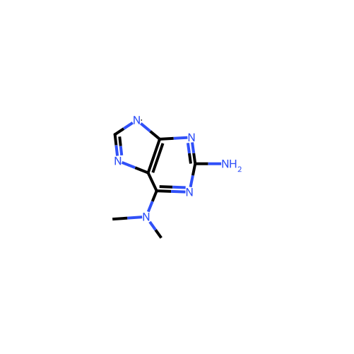 CN(C)c1nc(N)nc2c1N=C[N]2